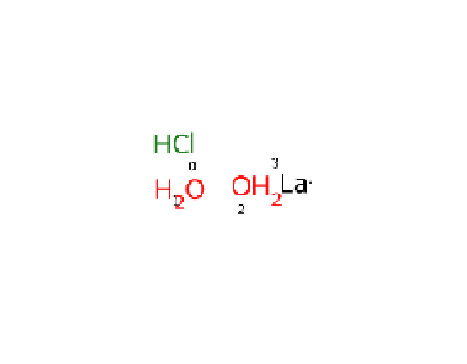 Cl.O.O.[La]